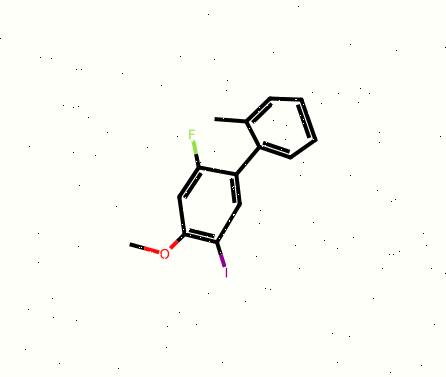 COc1cc(F)c(-c2ccccc2C)cc1I